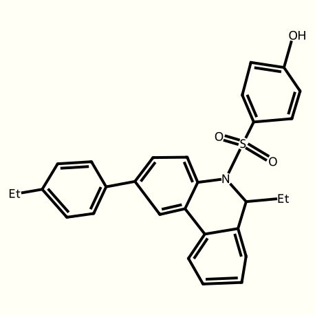 CCc1ccc(-c2ccc3c(c2)-c2ccccc2C(CC)N3S(=O)(=O)c2ccc(O)cc2)cc1